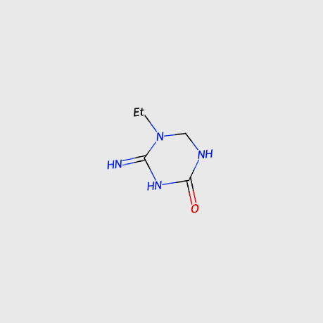 CCN1CNC(=O)NC1=N